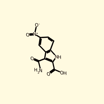 NC(=O)c1c(C(=O)O)[nH]c2ccc([N+](=O)[O-])cc12